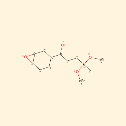 CCCO[Si](C)(CCC(O)C1CCC2OC2C1)OCCC